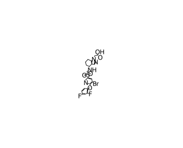 O=C(O)Cn1ncc2c1CCC[C@H]2NCS(=O)(=O)c1cnc(Oc2ccc(F)cc2F)c(Br)c1